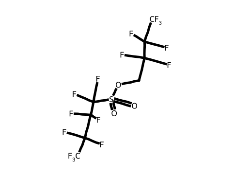 O=S(=O)(OCC(F)(F)C(F)(F)C(F)(F)F)C(F)(F)C(F)(F)C(F)(F)C(F)(F)F